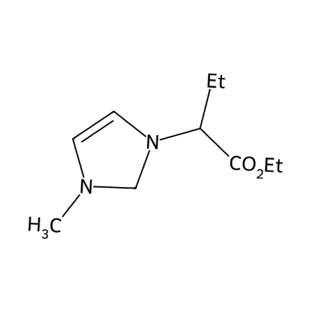 CCOC(=O)C(CC)N1C=CN(C)C1